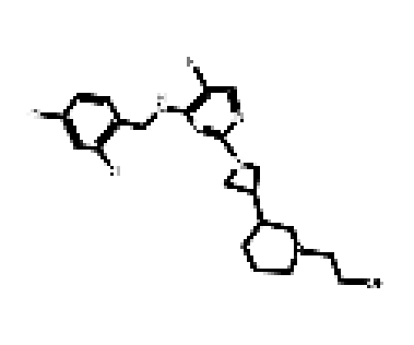 OCCN1CCCC(C2CN(c3ncc(F)c(NCc4ccc(Cl)cc4Cl)n3)C2)C1